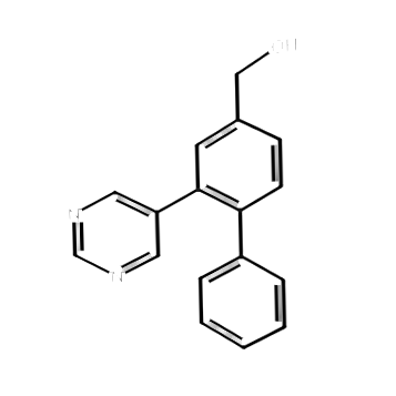 OCc1ccc(-c2ccccc2)c(-c2cncnc2)c1